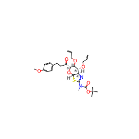 C=CCO[C@@H]1[C@H]2N=C(N(C)C(=O)OC(C)(C)C)S[C@H]2O[C@H](C(=O)CCc2ccc(OC)cc2)[C@H]1OCC=C